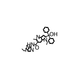 CCn1cnc(NC(=O)c2cc3c(cc(C(O)(c4ccccc4)c4ccccc4)n3CC)nc2C)n1